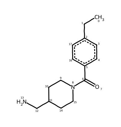 CCc1ccc(C(=O)N2CCC(CN)CC2)cc1